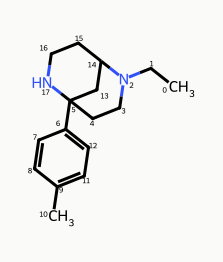 CCN1CCC2(c3ccc(C)cc3)CC1CCN2